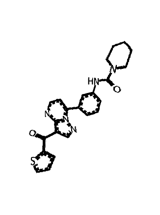 O=C(c1cccs1)c1cnn2c(-c3cccc(NC(=O)N4CCCCC4)c3)ccnc12